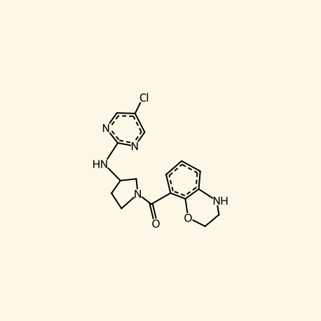 O=C(c1cccc2c1OCCN2)N1CCC(Nc2ncc(Cl)cn2)C1